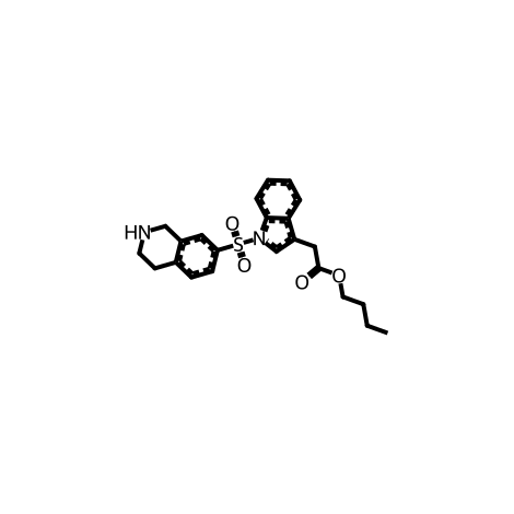 CCCCOC(=O)Cc1cn(S(=O)(=O)c2ccc3c(c2)CNCC3)c2ccccc12